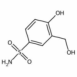 NS(=O)(=O)c1ccc(O)c(CO)c1